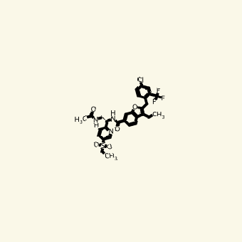 CCc1c(Cc2ccc(Cl)cc2C(F)(F)F)oc2cc(C(=O)N[C@@H](CNC(C)=O)c3ccc(S(=O)(=O)CC)cn3)ccc12